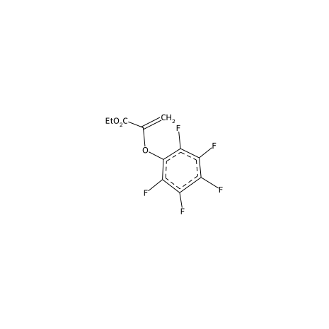 C=C(Oc1c(F)c(F)c(F)c(F)c1F)C(=O)OCC